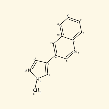 Cn1cc(-c2cnc3ccccc3c2)cn1